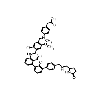 COc1cc(CNc2cccc(-c3cccc(-c4ccc(CNCC5CCC(=O)N5)cc4)c3Cl)c2C=N)c(Cl)cc1CN(C)c1ccc(CC(=O)O)cc1